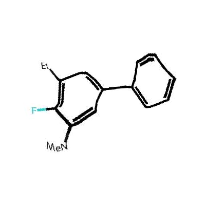 CCc1cc(-c2ccccc2)cc(NC)c1F